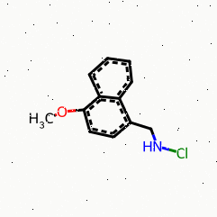 COc1ccc(CNCl)c2ccccc12